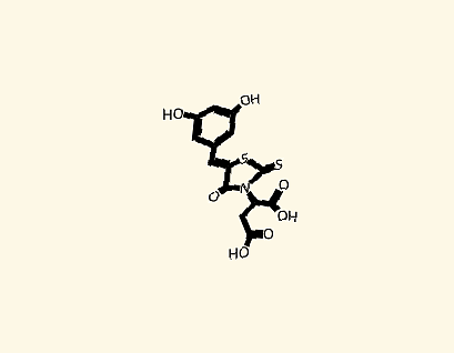 O=C(O)CC(C(=O)O)N1C(=O)/C(=C/c2cc(O)cc(O)c2)SC1=S